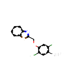 CC(=O)Nc1cc(Cl)c(OCc2nc3ccccc3s2)cc1Cl